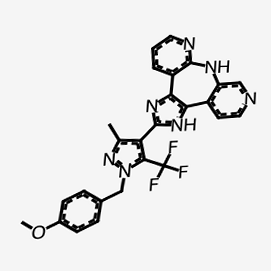 COc1ccc(Cn2nc(C)c(-c3nc4c([nH]3)-c3ccncc3Nc3ncccc3-4)c2C(F)(F)F)cc1